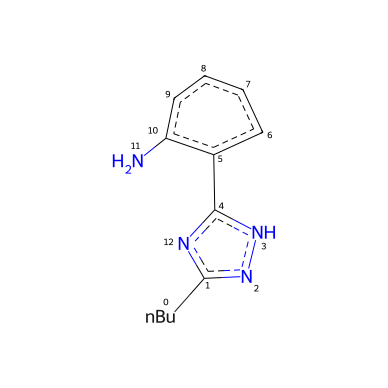 CCCCc1n[nH]c(-c2ccccc2N)n1